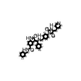 O=C1Nc2ccc(C(=O)NCc3ccccc3)cc2/C1=C(/NCc1ccc(N2C(=O)N/C(=C\c3ccncc3)C2=O)cc1)c1ccccc1